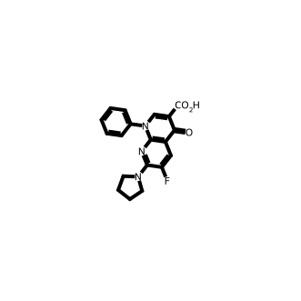 O=C(O)c1cn(-c2ccccc2)c2nc(N3CCCC3)c(F)cc2c1=O